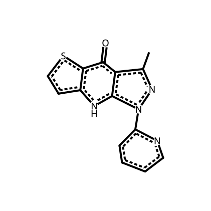 Cc1nn(-c2ccccn2)c2[nH]c3ccsc3c(=O)c12